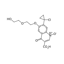 O=C(O)C1=C[NH+]([O-])c2cc(C3(Cl)CC3)c(OCCOCCO)cc2C1=O